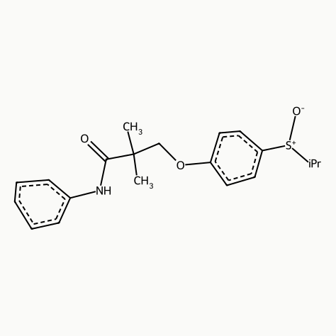 CC(C)[S+]([O-])c1ccc(OCC(C)(C)C(=O)Nc2ccccc2)cc1